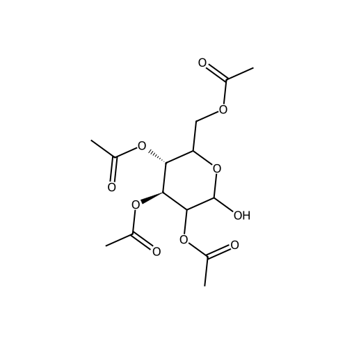 CC(=O)OCC1OC(O)C(OC(C)=O)[C@@H](OC(C)=O)[C@@H]1OC(C)=O